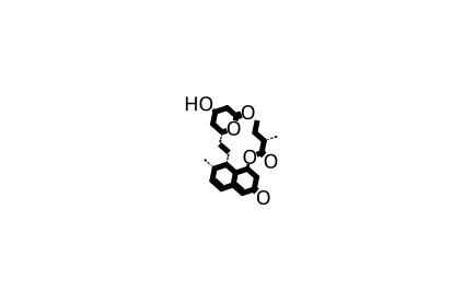 CC[C@H](C)C(=O)O[C@H]1CC(=O)C=C2C=C[C@H](C)[C@H](CC[C@@H]3C[C@@H](O)CC(=O)O3)C21